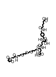 O=C(O)CCCCC(=O)NCC1CCC(C(=O)NC(CCC(=O)NC(CCC(=O)O)C(=O)NCCCOCCOCCOCCCNC(=O)CCN2C(=O)C=CC2=O)C(=O)O)CC1